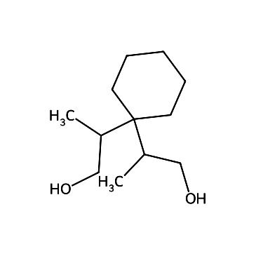 CC(CO)C1(C(C)CO)CCCCC1